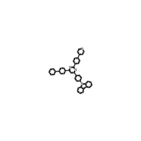 c1ccc(-c2ccc(-c3cc(-c4ccc(-n5c6ccccc6c6ccccc65)cc4)nc(-c4ccc(-c5ccncc5)cc4)n3)cc2)cc1